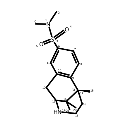 CN(C)S(=O)(=O)c1ccc2c(c1)CC1NCC[C@]2(C)C1(C)C